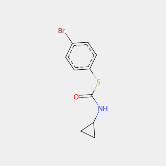 O=C(NC1CC1)Sc1ccc(Br)cc1